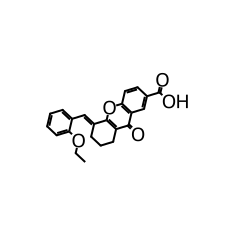 CCOc1ccccc1C=C1CCCc2c1oc1ccc(C(=O)O)cc1c2=O